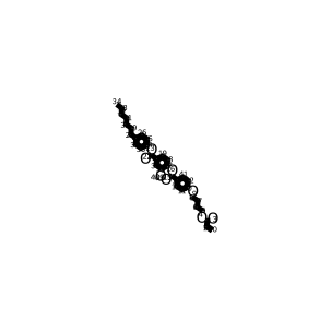 C=CC(=O)OCCCCOc1ccc(C(=O)Oc2ccc(C(=O)Oc3ccc(CCCCCCC)cc3)cc2OC)cc1